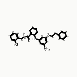 Nc1cc(Nc2cc[c]cc2C(=O)NCc2ccccc2Cl)cc(OCCc2ccccc2)c1